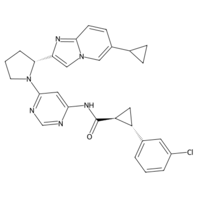 O=C(Nc1cc(N2CCC[C@@H]2c2cn3cc(C4CC4)ccc3n2)ncn1)[C@H]1C[C@@H]1c1cccc(Cl)c1